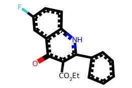 CCOC(=O)c1c(-c2ccccc2)[nH]c2ccc(F)cc2c1=O